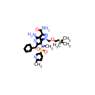 Cc1ccc(S(=O)(=O)N(C)c2c(Cc3ccccc3)nc(N)c3c(C(N)=O)nn(COCC[Si](C)(C)C)c23)cn1